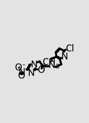 C[C@]1(CN2CCc3nc(Cl)ccc3C2)Cn2cc([N+](=O)[O-])nc2O1